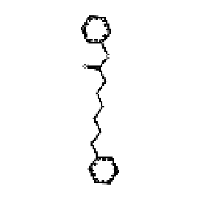 O=C(CCCCCCc1ccccc1)Oc1ccccc1